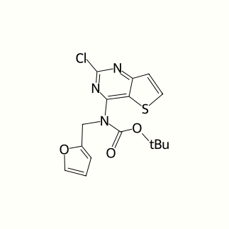 CC(C)(C)OC(=O)N(Cc1ccco1)c1nc(Cl)nc2ccsc12